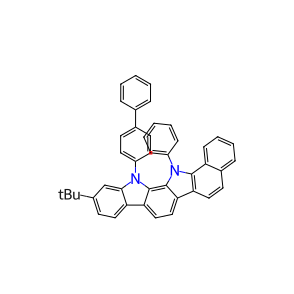 CC(C)(C)c1ccc2c3ccc4c5ccc6ccccc6c5n(-c5ccccc5)c4c3n(-c3ccc(-c4ccccc4)cc3)c2c1